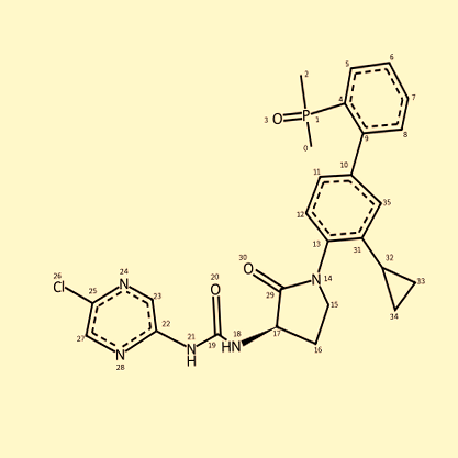 CP(C)(=O)c1ccccc1-c1ccc(N2CC[C@@H](NC(=O)Nc3cnc(Cl)cn3)C2=O)c(C2CC2)c1